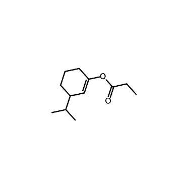 CCC(=O)OC1=CC(C(C)C)CCC1